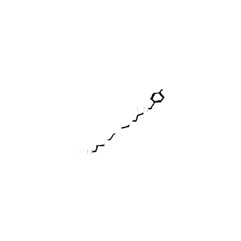 NCCCOCCOCCOCCCNC(=O)c1ccc(I)cc1